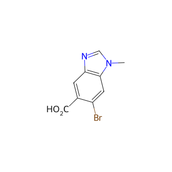 Cn1cnc2cc(C(=O)O)c(Br)cc21